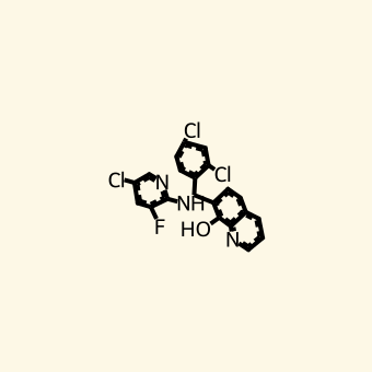 Oc1c(C(Nc2ncc(Cl)cc2F)c2ccc(Cl)cc2Cl)ccc2cccnc12